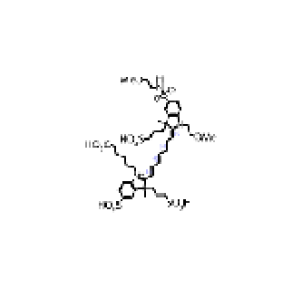 COCCNS(=O)(=O)c1ccc2c(c1)C(C)(CCCS(=O)(=O)O)\C(=C/C=C/C=C/C=C/C1=[N+](CCCCCC(=O)O)c3ccc(S(=O)(=O)O)cc3C1(C)CCCS(=O)(=O)O)N2CCOC